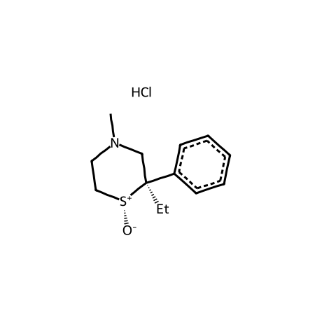 CC[C@@]1(c2ccccc2)CN(C)CC[S@@+]1[O-].Cl